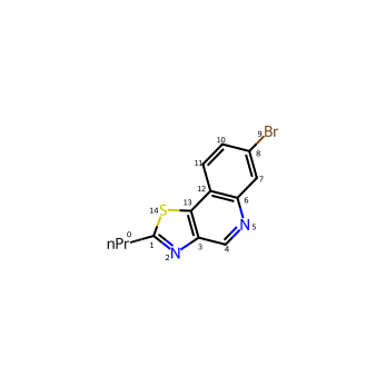 CCCc1nc2cnc3cc(Br)ccc3c2s1